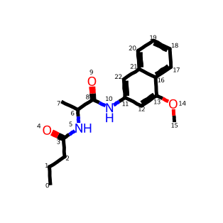 CCCC(=O)NC(C)C(=O)Nc1cc(OC)c2ccccc2c1